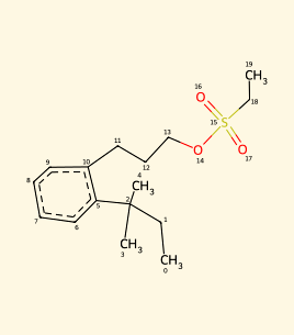 CCC(C)(C)c1ccccc1CCCOS(=O)(=O)CC